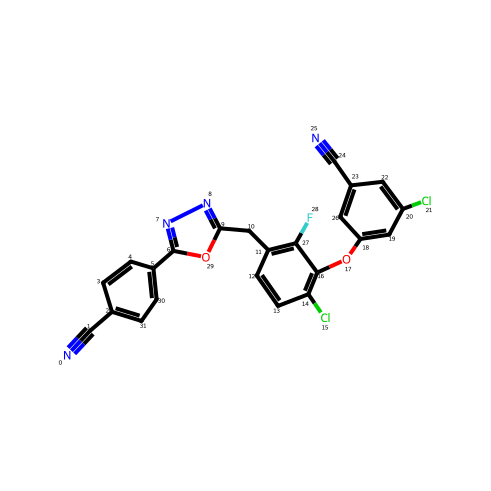 N#Cc1ccc(-c2nnc(Cc3ccc(Cl)c(Oc4cc(Cl)cc(C#N)c4)c3F)o2)cc1